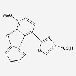 COc1ccc(-c2nc(C(=O)O)co2)c2c1oc1ccccc12